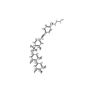 CCCCOc1ccc(C#Cc2ccc(C(F)(F)Oc3cc(F)c(-c4cc(F)c(F)c(F)c4)c(F)c3)c(F)c2)cc1